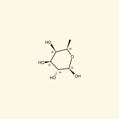 C[C@H]1O[C@@H](O)[C@H](O)[C@@H](O)[C@H]1O